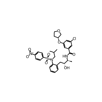 CC(C)CN(c1ccccc1C[C@@H](O)[C@H](C)NC(=O)c1cc(Cl)cc(O[C@H]2CCOC2)c1)S(=O)(=O)c1ccc([N+](=O)[O-])cc1